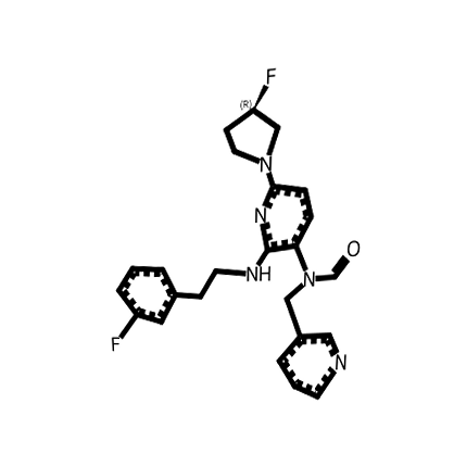 O=CN(Cc1cccnc1)c1ccc(N2CC[C@@H](F)C2)nc1NCCc1cccc(F)c1